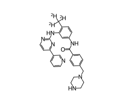 [2H]C([2H])([2H])c1ccc(NC(=O)c2ccc(CN3CCNCC3)cc2)cc1Nc1nccc(-c2cccnc2)n1